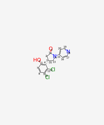 O=C1C[C@@H](c2c(O)ccc(Cl)c2Cl)CN1c1ccncc1